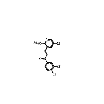 COc1ncc(Cl)cc1CCC(=O)c1ccc(Cl)c(Cl)c1